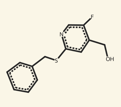 OCc1cc(SCc2ccccc2)ncc1F